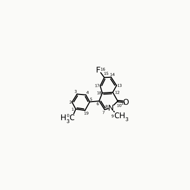 Cc1cccc(-c2cn(C)c(=O)c3ccc(F)cc23)c1